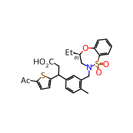 CC[C@@H]1CN(Cc2cc(C(CC(=O)O)c3ccc(C(C)=O)s3)ccc2C)S(=O)(=O)c2ccccc2O1